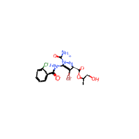 CC(CO)OC(=O)c1nn(C(N)=O)c(NC(=O)c2ccccc2Cl)c1Br